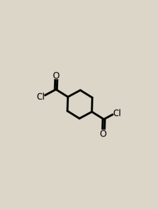 O=C(Cl)C1CCC(C(=O)Cl)CC1